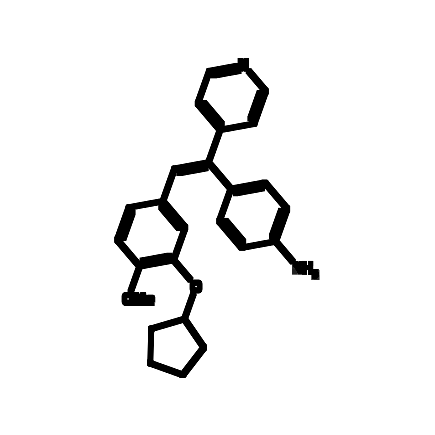 COc1ccc(C=C(c2ccncc2)c2ccc(N)cc2)cc1OC1CCCC1